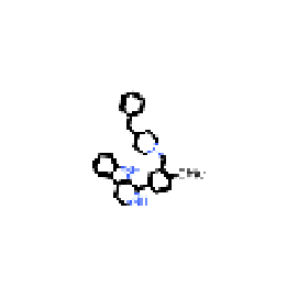 COc1ccc(C2NCCc3c2[nH]c2ccccc32)cc1CN1CCC(Cc2ccccc2)CC1